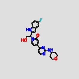 O=c1cc(-c2ccnc(NC3CCOCC3)n2)ccn1C(CO)c1cc2cc(F)ccc2[nH]1